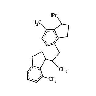 Cc1ccc(CC(C)C2CCc3cccc(C(F)(F)F)c32)c2c1C(C(C)C)CC2